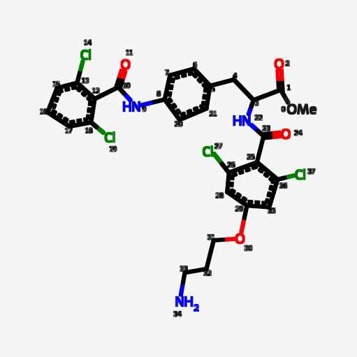 COC(=O)C(Cc1ccc(NC(=O)c2c(Cl)cccc2Cl)cc1)NC(=O)c1c(Cl)cc(OCCCN)cc1Cl